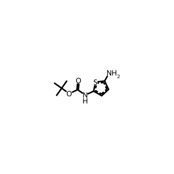 CC(C)(C)OC(=O)Nc1ccc(N)s1